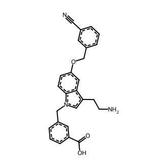 N#Cc1cccc(COc2ccc3c(c2)c(CCN)cn3Cc2cccc(C(=O)O)c2)c1